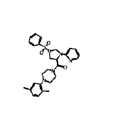 Cc1ccc(C)c(N2CCN(C(=O)C3CN(S(=O)(=O)c4ccccc4)CN3c3ccccn3)CC2)c1